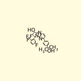 CC(C)(O)c1ccc(-c2ccc3nc4n(c3n2)C(c2cc(F)ccc2C(F)(F)F)CC4O)cc1